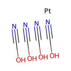 N#CO.N#CO.N#CO.N#CO.[Pt]